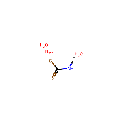 CCNC(=S)S.O.O.O